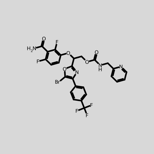 NC(=O)c1c(F)ccc(OC(COC(=O)NCc2ccccn2)c2nc(-c3ccc(C(F)(F)F)cc3)c(Br)o2)c1F